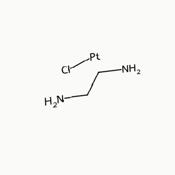 NCCN.[Cl][Pt]